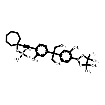 CCC(CC)(c1ccc(C#CC2(O[Si](C)(C)C)CCCCCC2)c(C)c1)c1ccc(B2OC(C)(C)C(C)(C)O2)c(C)c1